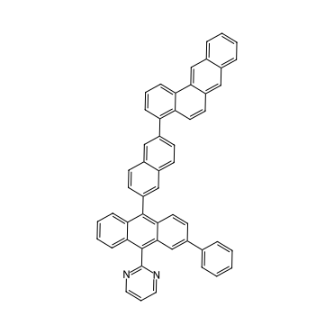 c1ccc(-c2ccc3c(-c4ccc5cc(-c6cccc7c6ccc6cc8ccccc8cc67)ccc5c4)c4ccccc4c(-c4ncccn4)c3c2)cc1